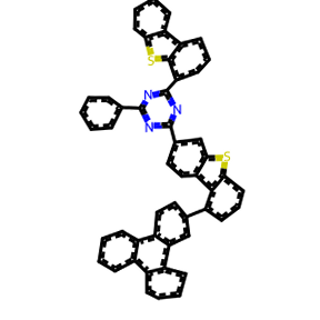 c1ccc(-c2nc(-c3ccc4c(c3)sc3cccc(-c5ccc6c7ccccc7c7ccccc7c6c5)c34)nc(-c3cccc4c3sc3ccccc34)n2)cc1